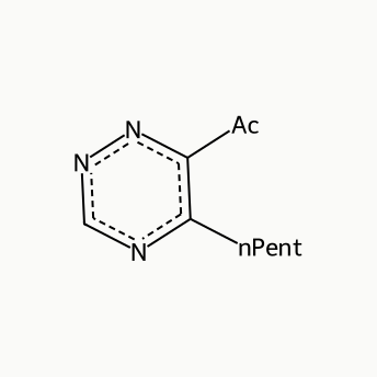 CCCCCc1ncnnc1C(C)=O